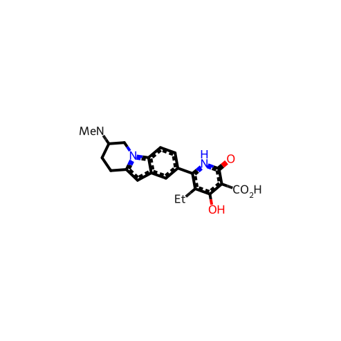 CCc1c(-c2ccc3c(c2)cc2n3CC(NC)CC2)[nH]c(=O)c(C(=O)O)c1O